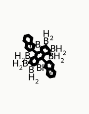 Bc1c(B)c(B)c2c(-c3ccc4ccccc4c3)c3c(B)c(B)c(B)c(B)c3c(-c3ccc4ccccc4c3)c2c1B